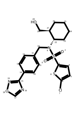 O=S(=O)(c1ccc(Cl)s1)N(Cc1ccc(-c2ncon2)cc1)[C@H]1CCCC[C@@H]1CO